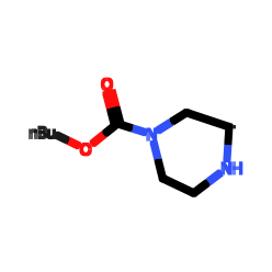 CCCCOC(=O)N1C[CH]NCC1